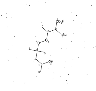 CCCCC(C(=O)O)C(C)OOC(C)(C)CC(C)O